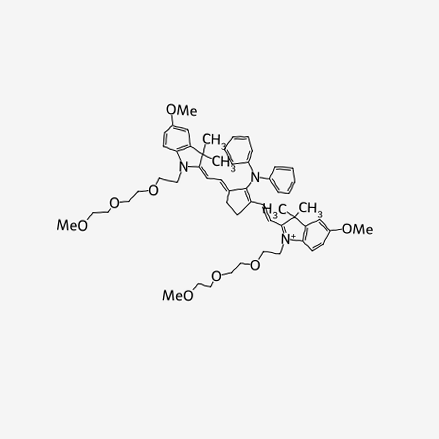 COCCOCCOCCN1/C(=C/C=C2\CCC(/C=C/C3=[N+](CCOCCOCCOC)c4ccc(OC)cc4C3(C)C)=C2N(c2ccccc2)c2ccccc2)C(C)(C)c2cc(OC)ccc21